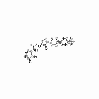 CC(COC1CCN(C2CCN(c3cnc(C(F)(F)F)cn3)CC2)C1=O)Nc1cn[nH]c(=O)c1Br